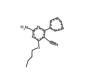 CCCCSc1nc(N)nc(-c2ccccc2)c1C#N